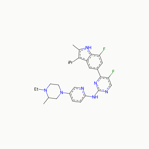 CCN1CCN(c2ccc(Nc3ncc(F)c(-c4cc(F)c5[nH]c(C)c(C(C)C)c5c4)n3)nc2)CC1C